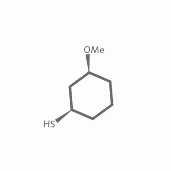 CO[C@H]1CCC[C@@H](S)C1